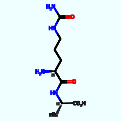 CCCC[C@H](NC(=O)[C@@H](N)CCCNC(N)=O)C(=O)O